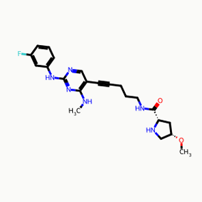 CNc1nc(Nc2cccc(F)c2)ncc1C#CCCCNC(=O)[C@@H]1C[C@H](OC)CN1